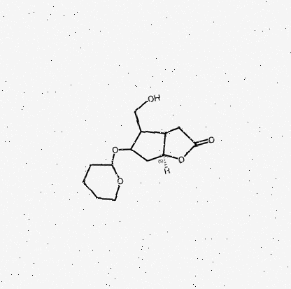 O=C1CC2C(CO)C(OC3CCCCO3)C[C@@H]2O1